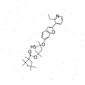 CCc1ncccc1-c1cc2ccc(OC(C)(S)CC(C)(C)OC(=O)C(C)(CC(C)(C)C)C(C)(C)C)cc2o1